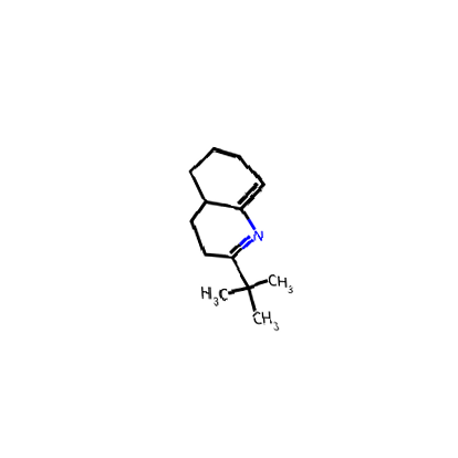 CC(C)(C)C1=NC2=CCCCC2CC1